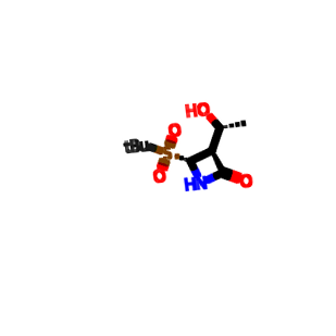 C[C@@H](O)[C@H]1C(=O)N[C@@H]1S(=O)(=O)C(C)(C)C